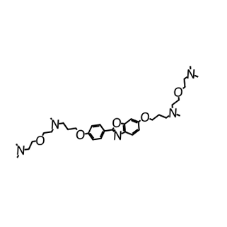 CN(C)CCOCCN(C)CCCOc1ccc(-c2nc3ccc(OCCCN(C)CCOCCN(C)C)cc3o2)cc1